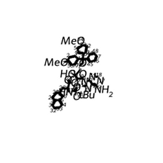 COc1ccc(C(OC[C@@H]2O[C@H](n3cnc4c(N)ncnc43)[C@H](OC(=O)C(Cc3ccc4ccccc4c3)NC(=O)OC(C)(C)C)[C@H]2O)(c2ccccc2)c2ccc(OC)cc2)cc1